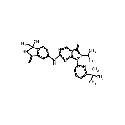 CC(C)n1c(=O)c2cnc(Nc3ccc4c(c3)C(=O)NC4(C)C)nc2n1-c1cccc(C(C)(C)C)n1